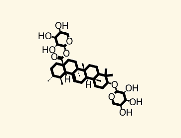 C[C@H]1[C@H](C)CC[C@]2(C(=O)O[C@@H]3OC[C@H](O)[C@H](O)[C@H]3O)CC[C@]3(C)C(=CC[C@@H]4[C@@]5(C)CC[C@H](O[C@@H]6OC[C@H](O)[C@H](O)[C@H]6O)C(C)(C)C5CC[C@]43C)[C@H]12